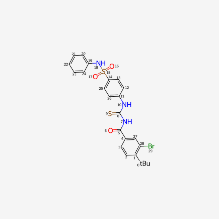 CC(C)(C)c1ccc(C(=O)NC(=S)Nc2ccc(S(=O)(=O)Nc3ccccc3)cc2)cc1Br